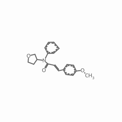 COc1ccc(C=CC(=O)N(c2ccccc2)C2CCOC2)cc1